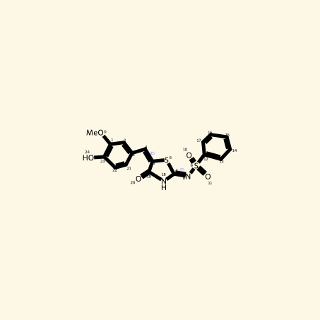 COc1cc(/C=C2/S/C(=N\S(=O)(=O)c3ccccc3)NC2=O)ccc1O